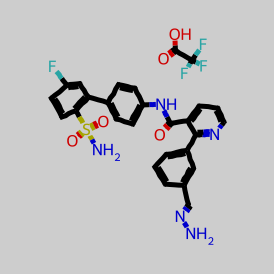 NN=Cc1cccc(-c2ncccc2C(=O)Nc2ccc(-c3cc(F)ccc3S(N)(=O)=O)cc2)c1.O=C(O)C(F)(F)F